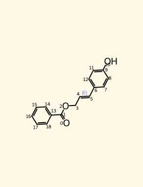 O=C(OC/C=C/c1ccc(O)cc1)c1ccccc1